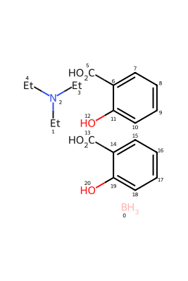 B.CCN(CC)CC.O=C(O)c1ccccc1O.O=C(O)c1ccccc1O